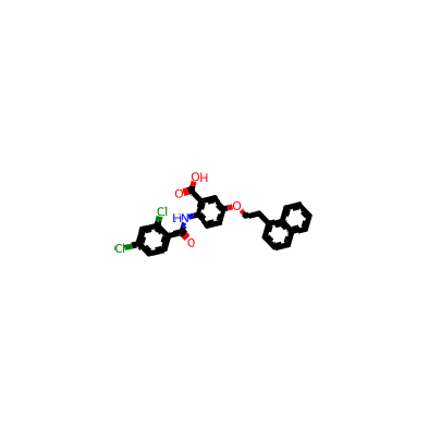 O=C(Nc1ccc(OCCc2cccc3ccccc23)cc1C(=O)O)c1ccc(Cl)cc1Cl